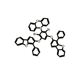 Brc1c(Oc2ccc3c(oc4ccccc43)c2-c2ccccc2)cc(Oc2ccc3c(oc4ccccc43)c2-c2ccccc2)c(Br)c1N1c2ccccc2Oc2ccccc21